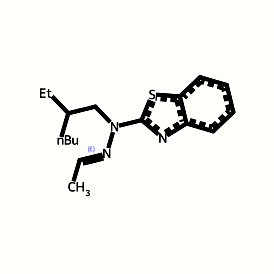 C/C=N/N(CC(CC)CCCC)c1nc2ccccc2s1